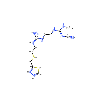 CNC(=NC#N)NCCNC(N)=NCCSCc1nncs1